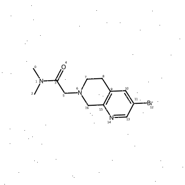 CN(C)C(=O)CN1CCc2cc(Br)cnc2C1